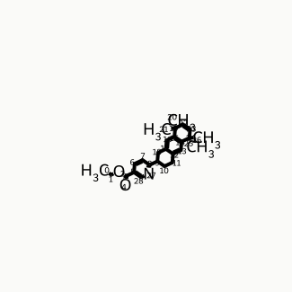 CCOC(=O)c1ccc(C2CCc3cc4c(cc3C2)C(C)(C)C=CC4(C)C)nc1